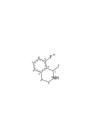 CC1NCCc2cccc(F)c21